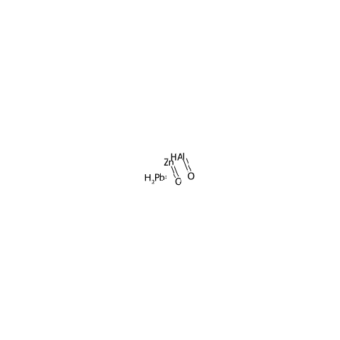 [O]=[AlH].[O]=[Zn].[PbH2]